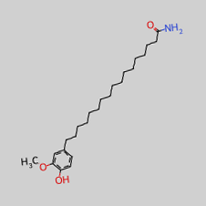 COc1cc(CCCCCCCCCCCCCCCCC(N)=O)ccc1O